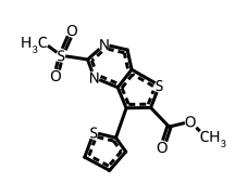 COC(=O)c1sc2cnc(S(C)(=O)=O)nc2c1-c1cccs1